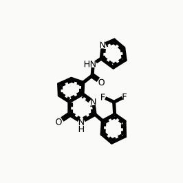 O=C(Nc1ccccn1)c1cccc2c(=O)[nH]c(-c3ccccc3C(F)F)nc12